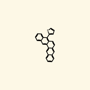 c1csc(-c2c3ccccc3cc3c2ccc2cc4ccccc4cc23)c1